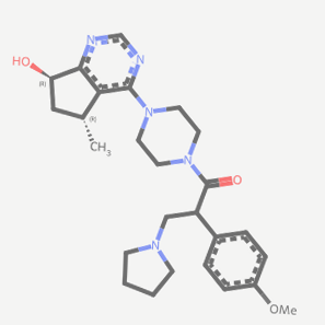 COc1ccc(C(CN2CCCC2)C(=O)N2CCN(c3ncnc4c3[C@H](C)C[C@H]4O)CC2)cc1